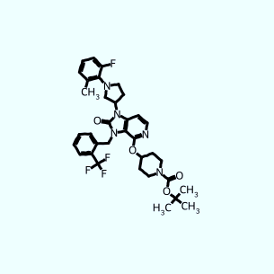 Cc1cccc(F)c1N1CCC(n2c(=O)n(Cc3ccccc3C(F)(F)F)c3c(OC4CCN(C(=O)OC(C)(C)C)CC4)nccc32)C1